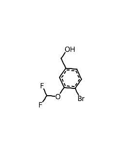 OCc1ccc(Br)c(OC(F)F)c1